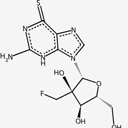 Nc1nc(=S)c2ncn([C@@H]3O[C@H](CO)[C@@H](O)[C@]3(O)CF)c2[nH]1